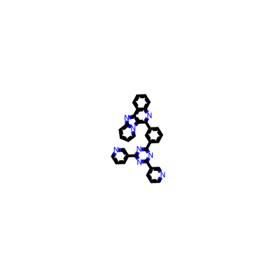 c1cncc(-c2nc(-c3cccnc3)nc(-c3cccc(-c4nc5ccccc5c5nc6ccccn6c45)c3)n2)c1